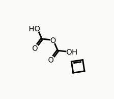 C1=CCC1.O=C(O)OC(=O)O